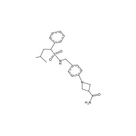 CC(C)CC(c1ccccc1)S(=O)(=O)NCc1ccc(N2CC(C(N)=O)C2)cc1